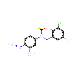 N=Nc1ccc(N2Cc3cc(Cl)cc(Cl)c3OC2=S)cc1N